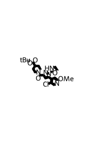 COc1cc(-c2cc(C(=O)N3CCC(C(=O)OC(C)(C)C)CC3)nn2C2NCCO2)c(Cl)cn1